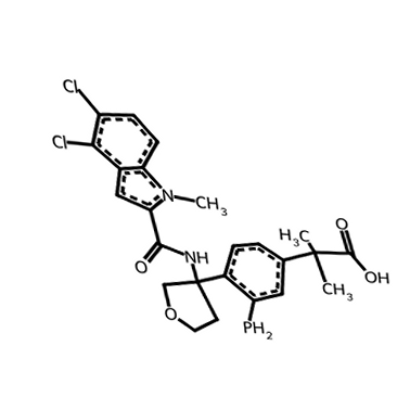 Cn1c(C(=O)NC2(c3ccc(C(C)(C)C(=O)O)cc3P)CCOC2)cc2c(Cl)c(Cl)ccc21